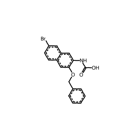 O=C(O)Nc1cc2cc(Br)ccc2cc1OCc1ccccc1